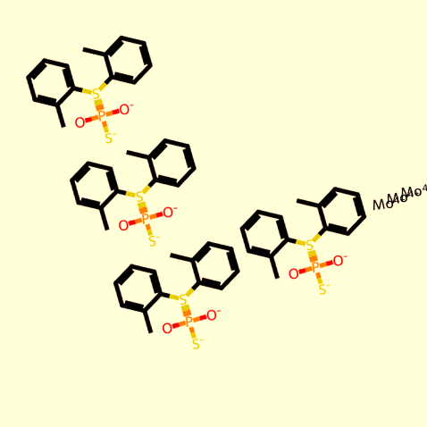 Cc1ccccc1S(c1ccccc1C)=P([O-])([O-])[S-].Cc1ccccc1S(c1ccccc1C)=P([O-])([O-])[S-].Cc1ccccc1S(c1ccccc1C)=P([O-])([O-])[S-].Cc1ccccc1S(c1ccccc1C)=P([O-])([O-])[S-].[Mo+4].[Mo+4].[Mo+4]